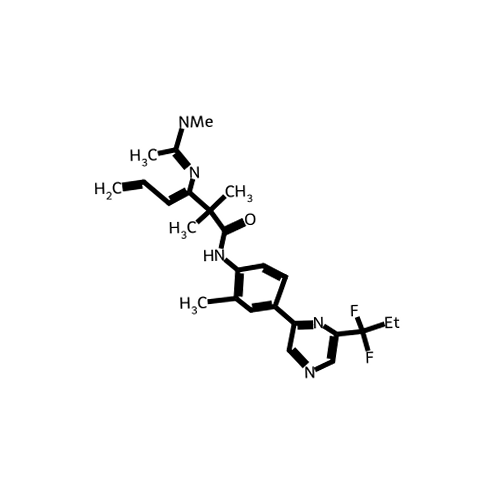 C=C/C=C(\N=C(/C)NC)C(C)(C)C(=O)Nc1ccc(-c2cncc(C(F)(F)CC)n2)cc1C